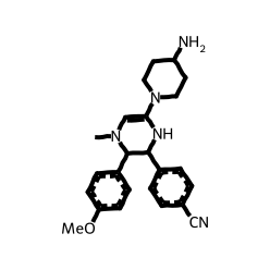 COc1ccc(C2C(c3ccc(C#N)cc3)NC(N3CCC(N)CC3)=CN2C)cc1